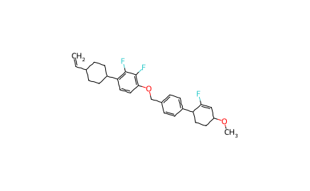 C=CC1CCC(c2ccc(OCc3ccc(C4CCC(OC)C=C4F)cc3)c(F)c2F)CC1